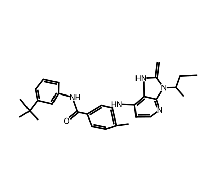 C=C1Nc2c(Nc3cc(C(=O)Nc4cccc(C(C)(C)C)c4)ccc3C)ccnc2N1C(C)CC